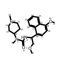 COCC(NC(=O)N(C)C1CCN(C)CC1)c1ccc(OC)c2ccccc12